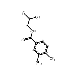 CCC(O)CNC(=O)c1ccc(C(F)(F)F)c(N)c1